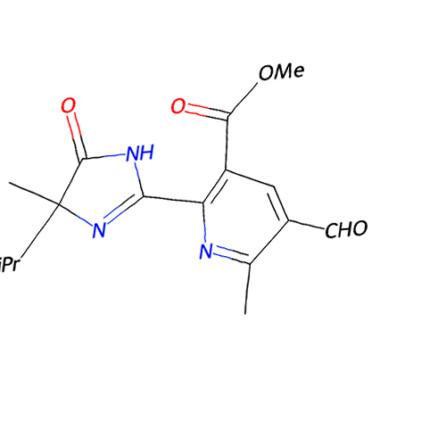 COC(=O)c1cc(C=O)c(C)nc1C1=NC(C)(C(C)C)C(=O)N1